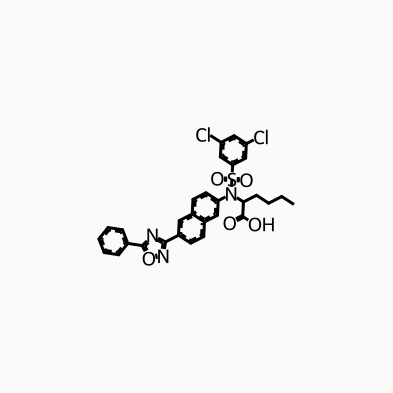 CCCCC(C(=O)O)N(c1ccc2cc(-c3noc(-c4ccccc4)n3)ccc2c1)S(=O)(=O)c1cc(Cl)cc(Cl)c1